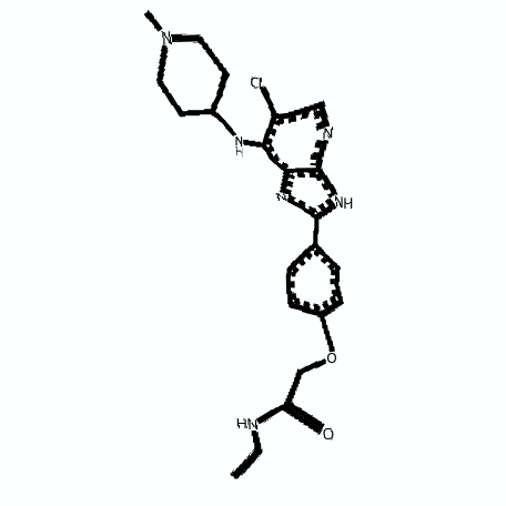 CCNC(=O)COc1ccc(-c2nc3c(NC4CCN(C)CC4)c(Cl)cnc3[nH]2)cc1